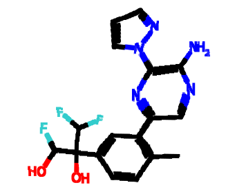 Cc1ccc(C(O)(C(O)F)C(F)F)cc1-c1cnc(N)c(-n2cccn2)n1